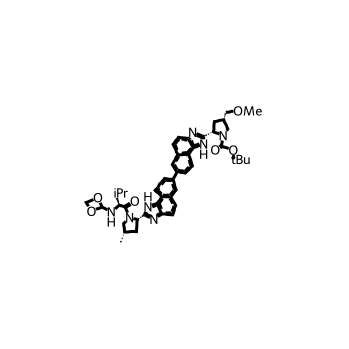 COC[C@H]1C[C@@H](c2nc3ccc4cc(-c5ccc6c(ccc7nc([C@@H]8C[C@H](C)CN8C(=O)[C@@H](NC8OCO8)C(C)C)[nH]c76)c5)ccc4c3[nH]2)N(C(=O)OC(C)(C)C)C1